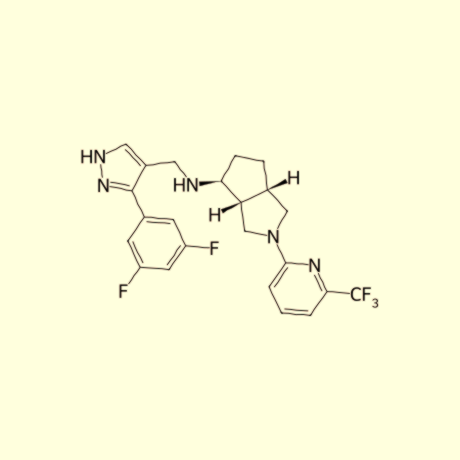 Fc1cc(F)cc(-c2n[nH]cc2CN[C@H]2CC[C@@H]3CN(c4cccc(C(F)(F)F)n4)C[C@@H]32)c1